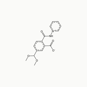 COC(OC)c1ccc(C(=O)N[n+]2ccccc2)c(C(=O)[O-])c1